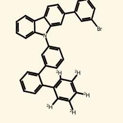 [2H]c1c([2H])c([2H])c(-c2ccccc2-c2cccc(-n3c4ccccc4c4ccc(-c5cccc(Br)c5)cc43)c2)c([2H])c1[2H]